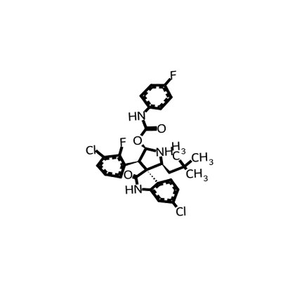 CC(C)(C)C[C@@H]1N[C@H](OC(=O)Nc2ccc(F)cc2)[C@H](c2cccc(Cl)c2F)[C@]12C(=O)Nc1cc(Cl)ccc12